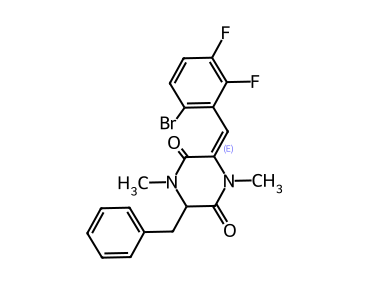 CN1C(=O)C(Cc2ccccc2)N(C)C(=O)/C1=C\c1c(Br)ccc(F)c1F